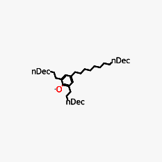 CCCCCCCCCCCCCCCCCCc1cc(CCCCCCCCCCCC)c([O])c(CCCCCCCCCCCC)c1